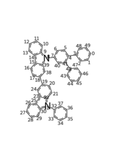 c1ccc(-c2ccc(-n3c4ccccc4c4ccc(-c5ccc6c(c5)c5ccccc5n6-c5ccccc5)cc43)cc2-c2ccccc2)cc1